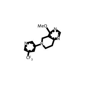 COc1ncnc2c1CN(c1cncc(C(F)(F)F)c1)CC2